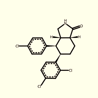 O=C1NC[C@H]2[C@H](c3ccc(Cl)cc3)[C@H](c3ccc(Cl)cc3Cl)CC[C@@H]12